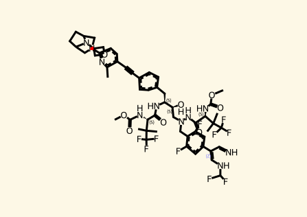 COC(=O)N[C@H](C(=O)N[C@@H](Cc1ccc(C#Cc2ccc(N3CC4CCC(C3)N4C3COC3)nc2C)cc1)[C@@H](O)CN(Cc1c(F)cc(/C(C=N)=C/NC(F)F)cc1F)NC(=O)[C@@H](NC(=O)OC)C(C)(C)C(F)(F)F)C(C)(C)C(F)(F)F